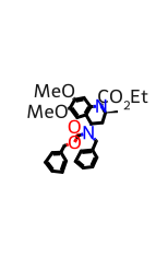 CCOC(=O)N1c2cc(OC)c(OC)cc2[C@H](N(Cc2ccccc2)C(=O)OCc2ccccc2)C[C@@H]1C